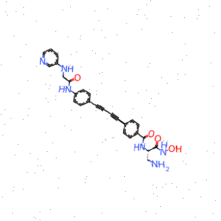 NC[C@H](NC(=O)c1ccc(C#CC#Cc2ccc(NC(=O)CNc3cccnc3)cc2)cc1)C(=O)NO